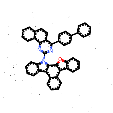 c1ccc(-c2ccc(-c3nc(-n4c5ccccc5c5c6ccccc6c6c7ccccc7oc6c54)nc4c3ccc3ccccc34)cc2)cc1